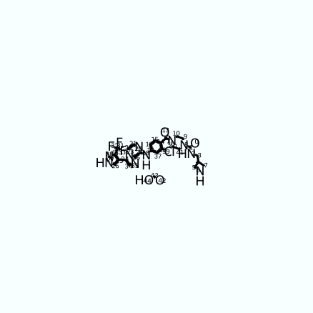 O=C(NCC1CNC1)N1CCN(C(=O)c2ccc(Nc3nccn4c(-c5c[nH]nc5C(F)(F)F)cnc34)cc2Cl)CC1.O=CO